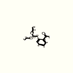 CC(=O)c1ccccc1.CCOC(C)OCC